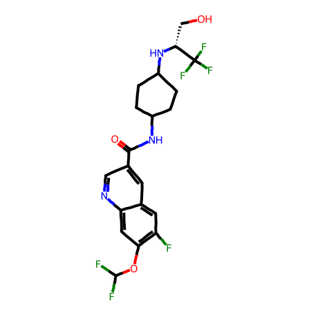 O=C(NC1CCC(N[C@H](CO)C(F)(F)F)CC1)c1cnc2cc(OC(F)F)c(F)cc2c1